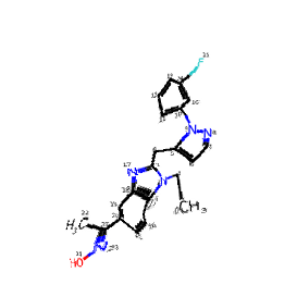 CCn1c(Cc2ccnn2-c2cccc(F)c2)nc2cc(C(C)=NO)ccc21